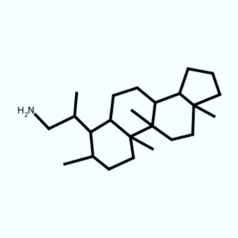 CC(CN)C1C(C)CCC2(C)C1CCC1C3CCCC3(C)CCC12C